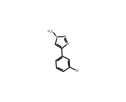 Cn1cc(-c2cccc(Cl)c2)nn1